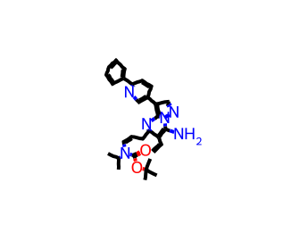 C=Cc1c(C/C=C\N(C(=O)OC(C)(C)C)C(C)C)nc2c(-c3ccc(-c4ccccc4)nc3)cnn2c1N